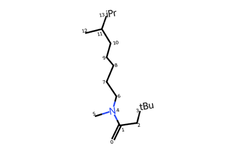 C=C(CC(C)(C)C)N(C)CCCCCC(C)C(C)C